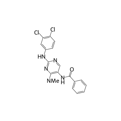 CNc1nc(Nc2ccc(Cl)c(Cl)c2)ncc1NC(=O)c1ccccc1